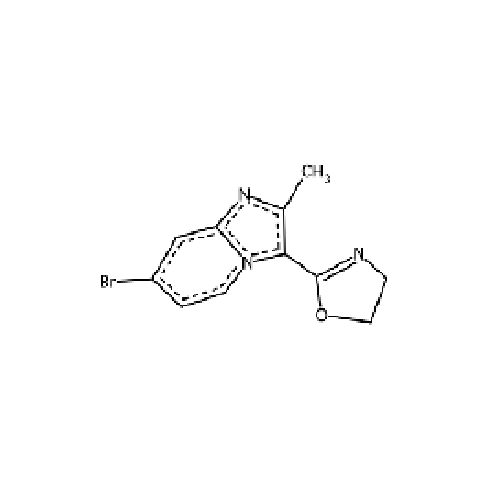 Cc1nc2cc(Br)ccn2c1C1=NCCO1